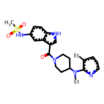 CCc1cccnc1N(CC)C1CCN(C(=O)c2c[nH]c3ccc(NS(C)(=O)=O)cc23)CC1